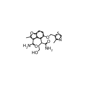 Cc1ncsc1COc1ccc2oc(C)c(C(N)=O)c2c1C(CCO)C(N)=O